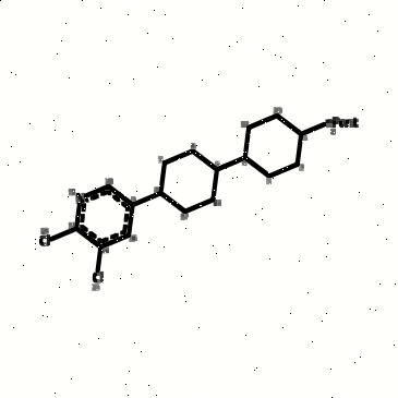 CCCCCC1CCC(C2CCC(c3cnc(Cl)c(Cl)c3)CC2)CC1